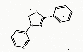 c1ccc(C2=NN(c3cccnc3)CS2)cc1